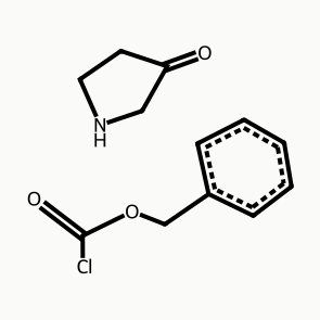 O=C(Cl)OCc1ccccc1.O=C1CCNC1